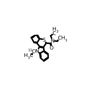 CCN(CC)C(=O)C1Sc2ccccc2-c2c1c1ccccc1n2[11CH2]C